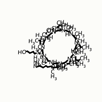 CC[C@H]1NC(=O)[C@H]([C@H](O)[C@H](C)CCCCCCN)N(C)C(=O)[C@@H](C(C)C)N(C)C(=O)[C@@H](CCC(C)C)N(C)C(=O)[C@H](CC(C)C)N(C)C(=O)[C@H](C)NC(=O)[C@@H](C)NC(=O)[C@@H](CC(C)C)N(C)C(=O)[C@@H](C(C)C)NC(=O)[C@H](CC(C)C)N(C)C(=O)[C@@H](CSCCCCO)N(C)C1=O